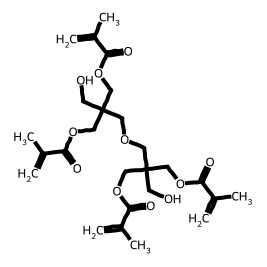 C=C(C)C(=O)OCC(CO)(COCC(CO)(COC(=O)C(=C)C)COC(=O)C(=C)C)COC(=O)C(=C)C